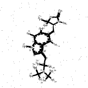 [2H]c1c(C[C@@H]2N([2H])C(=O)OC2([2H])[2H])c([2H])c2c(CC([2H])([2H])N(C([2H])([2H])[2H])C([2H])([2H])[2H])cn([2H])c2c1[2H]